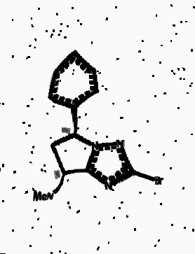 CN[C@H]1C[C@@H](c2ccccc2)n2nc(Br)nc21